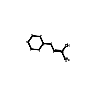 N/C(O)=C/CC1CCCCC1